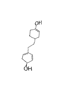 OC1=CCC(CCC2=CC[C@H](O)C=C2)CC1